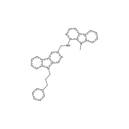 Cn1c2ccccc2c2ccnc(NCc3cc4c5ccccc5n(CCCc5ccccc5)c4cn3)c21